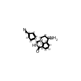 N#Cc1ccc([C@H]2NC(=O)c3cccc4c3N2CC[C@H]4N)cc1